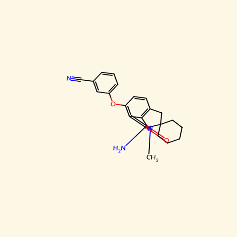 CN1C(=O)C2(N=C1N)c1cc(Oc3cccc(C#N)c3)ccc1CC21CCCCC1